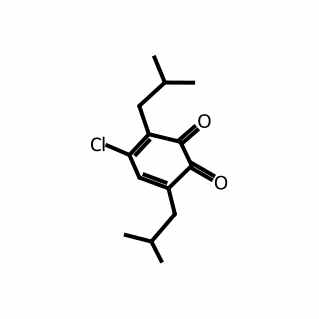 CC(C)CC1=CC(Cl)=C(CC(C)C)C(=O)C1=O